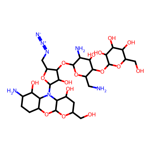 [N-]=[N+]=NCC1OC(N2C3C(O)CC(CO)OC3OC3CCC(N)C(O)C32)C(O)C1OC1OC(CN)C(OC2OC(CO)C(O)C(O)C2O)C(O)C1N